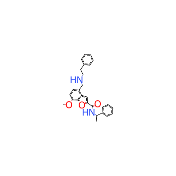 COc1ccc(CNCCc2ccccc2)c2cc(C(=O)NC(C)c3ccccc3)oc12